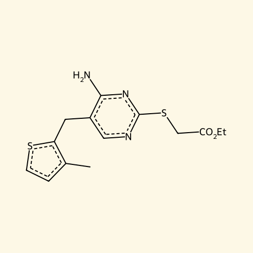 CCOC(=O)CSc1ncc(Cc2sccc2C)c(N)n1